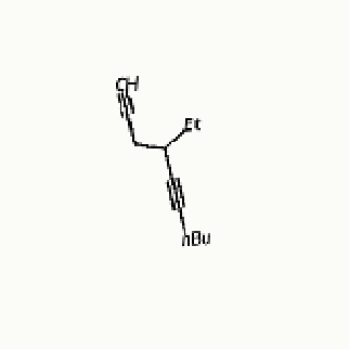 C#CCC(C#CCCCC)C[CH2]